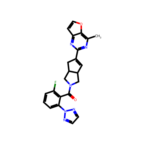 Cc1nc(C2=CC3CN(C(=O)c4c(F)cccc4-n4nccn4)CC3C2)nc2ccoc12